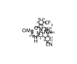 CO[C@H]1C[C@@H]1Nc1cc(-c2cc(C#N)ccc2-c2nncn2C)cc(N2Cc3c(cccc3C(F)(F)F)C2=O)n1